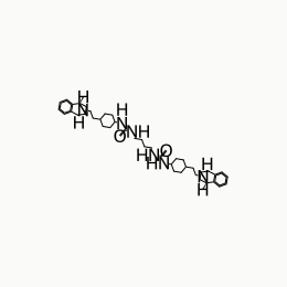 O=C(NCCCCNC(=O)NC1CCC(CCN2[C@@H]3CC[C@H]2c2ccccc23)CC1)NC1CCC(CCN2[C@@H]3CC[C@H]2c2ccccc23)CC1